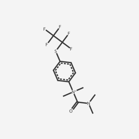 CN(C)C(=O)[N+](C)(C)c1ccc(SC(F)(F)C(F)(F)F)cc1